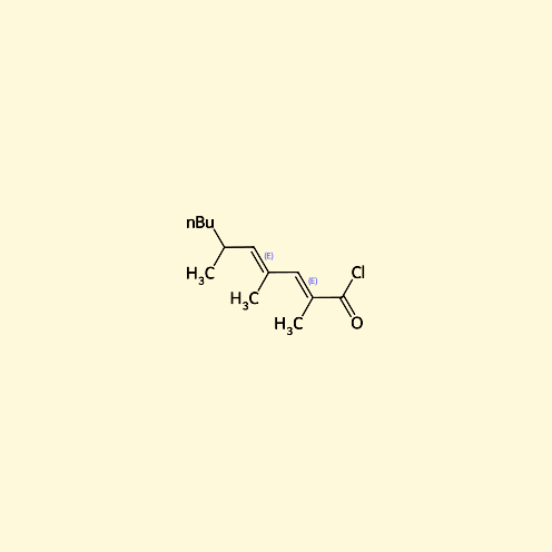 CCCCC(C)/C=C(C)/C=C(\C)C(=O)Cl